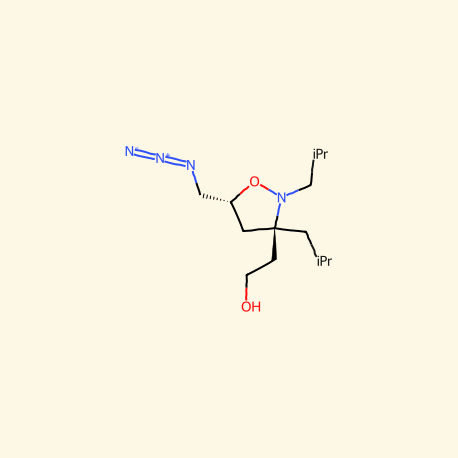 CC(C)CN1O[C@@H](CN=[N+]=[N-])C[C@@]1(CCO)CC(C)C